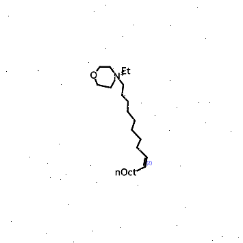 CCCCCCCC/C=C\CCCCCCCC[N+]1(CC)CCOCC1